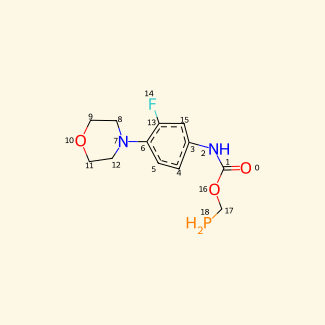 O=C(Nc1ccc(N2CCOCC2)c(F)c1)OCP